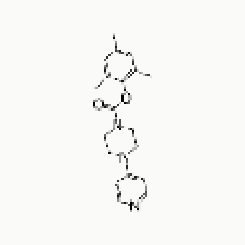 Cc1cc(C)c(OC(=O)N2CCN(c3ccncc3)CC2)c(C)c1